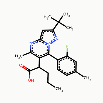 CCCC(C(=O)O)c1c(C)nc2cc(C(C)(C)C)nn2c1-c1ccc(C)cc1F